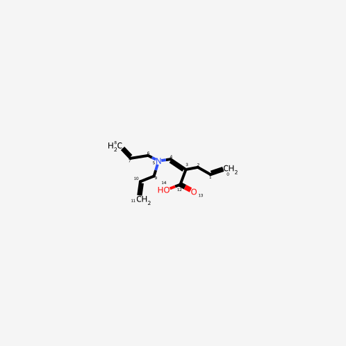 C=CCC(=CN(CC=C)CC=C)C(=O)O